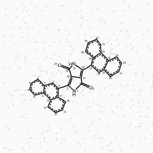 O=C1NC(c2cc3ccccc3c3ccccc23)=C2C(=O)NC(c3cc4ccccc4c4ccccc34)=C12